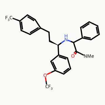 CNC(=O)C(N[C@H](CCc1ccc(C(F)(F)F)cc1)c1cccc(OC(F)(F)F)c1)c1ccccc1